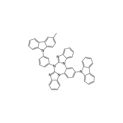 Cc1ccc2c(c1)c1ccccc1n2-c1cccc(-n2c3nc4ccccc4n3c3ccc(-n4c5ccccc5c5ccccc54)cc3n3c4ccccc4nc23)c1